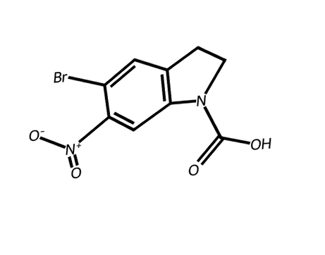 O=C(O)N1CCc2cc(Br)c([N+](=O)[O-])cc21